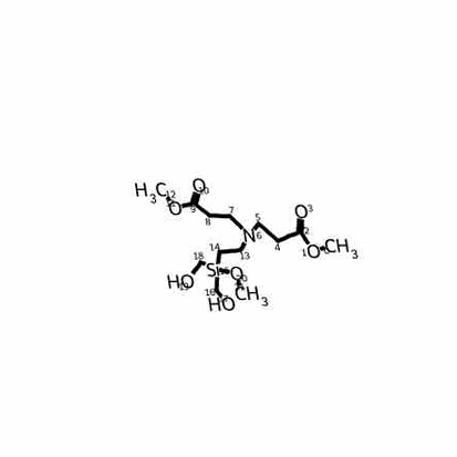 COC(=O)CCN(CCC(=O)OC)CC[Si](CO)(CO)OC